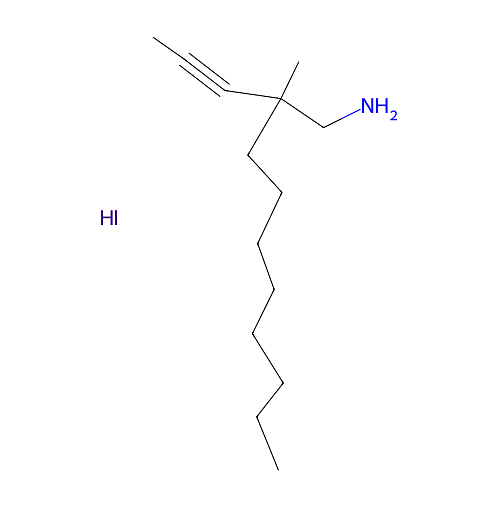 CC#CC(C)(CN)CCCCCCCC.I